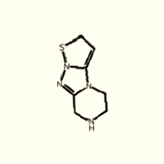 C1=C2N(N=C3CNCCN23)SC1